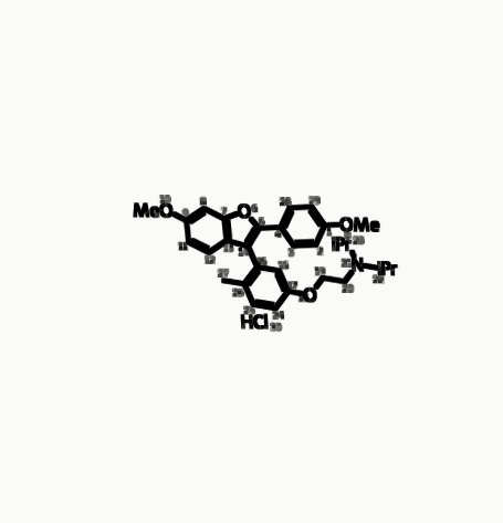 COc1ccc(-c2oc3cc(OC)ccc3c2-c2cc(OCCN(C(C)C)C(C)C)ccc2C)cc1.Cl